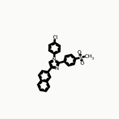 CS(=O)(=O)c1ccc(-c2nc(-c3ccc4ccccc4c3)cn2-c2ccc(Cl)cc2)cc1